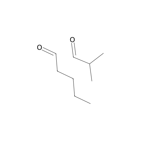 CC(C)C=O.CCCCC=O